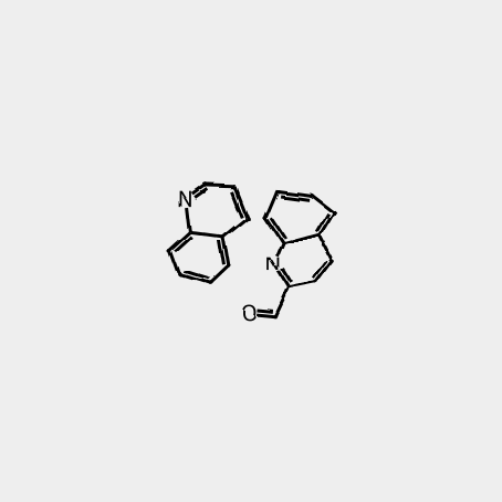 O=Cc1ccc2ccccc2n1.c1ccc2ncccc2c1